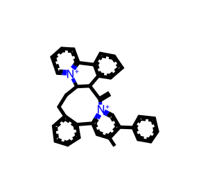 C=C1C2c3ccccc3-c3cccc[n+]3C2CCc2ccccc2-c2cc(C)c(-c3ccccc3)c[n+]21